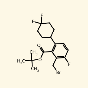 CC(C)(C)OC(=O)c1c(C2CCC(F)(F)CC2)ccc(F)c1CBr